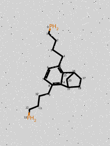 PCCCCc1ccc(CCCCP)c2c1C1CCC2C1